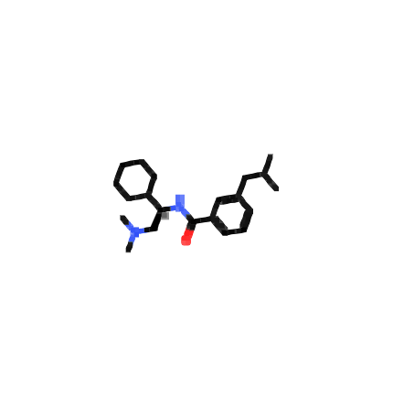 CC(C)Cc1cccc(C(=O)N[C@@H](CN(C)C)C2CCCCC2)c1